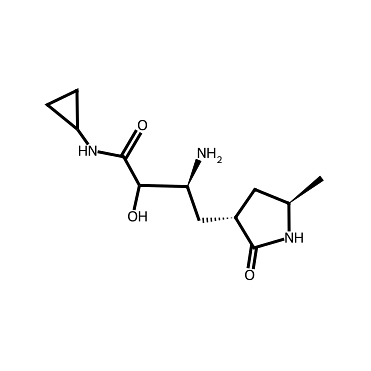 C[C@@H]1C[C@@H](C[C@H](N)C(O)C(=O)NC2CC2)C(=O)N1